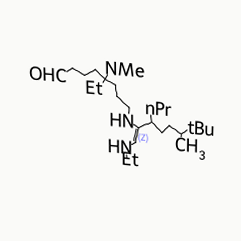 CCCC(CCC(C)C(C)(C)C)/C(=C/NCC)NCCCC(CC)(CCCC=O)NC